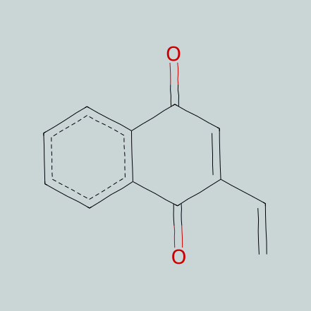 C=CC1=CC(=O)c2ccccc2C1=O